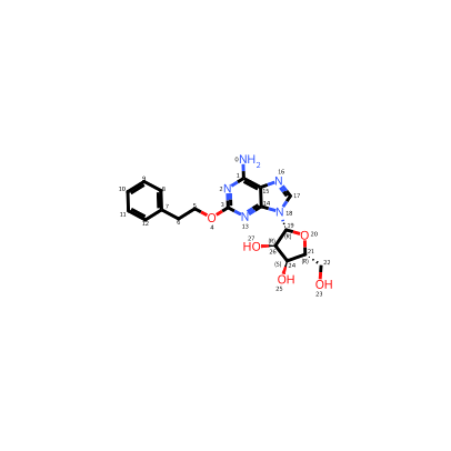 Nc1nc(OCCc2ccccc2)nc2c1ncn2[C@@H]1O[C@H](CO)[C@@H](O)[C@H]1O